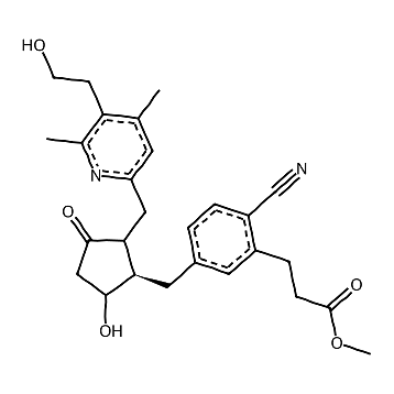 COC(=O)CCc1cc(C[C@H]2C(O)CC(=O)C2Cc2cc(C)c(CCO)c(C)n2)ccc1C#N